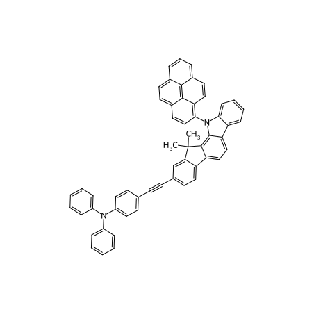 CC1(C)c2cc(C#Cc3ccc(N(c4ccccc4)c4ccccc4)cc3)ccc2-c2ccc3c4ccccc4n(-c4ccc5ccc6cccc7ccc4c5c67)c3c21